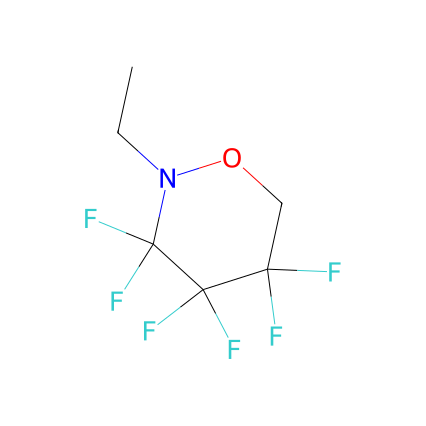 CCN1OCC(F)(F)C(F)(F)C1(F)F